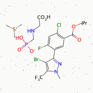 CC(C)OC(=O)c1cc(-c2nn(C)c(C(F)(F)F)c2Br)c(F)cc1Cl.C[S+](C)C.O=C(O)CNCP(=O)([O-])O